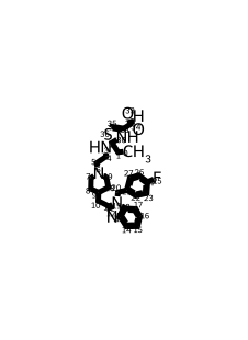 CCC1(NCCN2CCC(Cc3nc4ccccc4n3Cc3ccc(F)cc3)CC2)NC(C(=O)O)=CS1